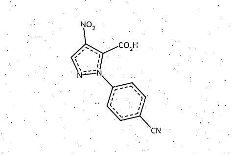 N#Cc1ccc(-n2ncc([N+](=O)[O-])c2C(=O)O)cc1